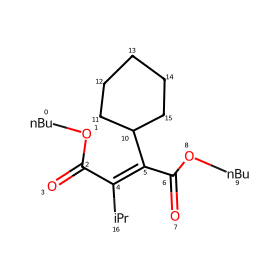 CCCCOC(=O)C(=C(C(=O)OCCCC)C1CCCCC1)C(C)C